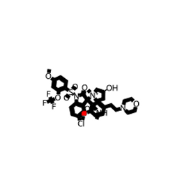 CNC(=O)[C@@H]1C[C@@H](O)C[N+]1(C)C1(c2cc(CCN3CCOCC3)ccc2OC)C(=O)N(S(=O)(=O)c2ccc(OC)cc2OC(F)(F)F)c2ccc(Cl)cc21